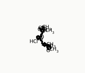 COc1cc(C=CC(=O)c2ccccc2OCCCN2CCN(c3cc(=O)n(C)c(=O)n3C)CC2)cc(OC)c1OC.Cl